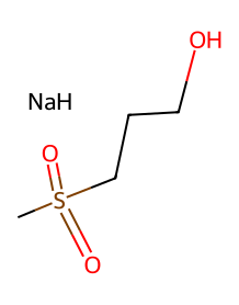 CS(=O)(=O)CCCO.[NaH]